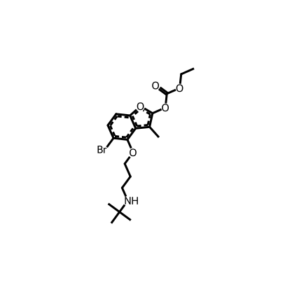 CCOC(=O)Oc1oc2ccc(Br)c(OCCCNC(C)(C)C)c2c1C